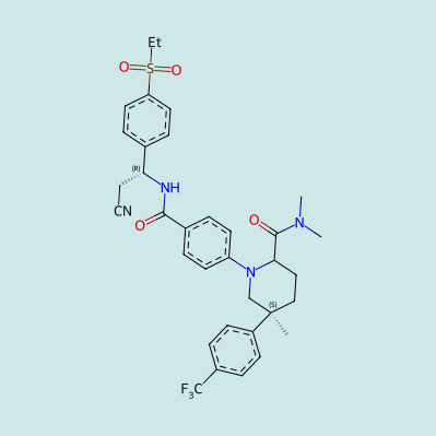 CCS(=O)(=O)c1ccc([C@@H](CC#N)NC(=O)c2ccc(N3C[C@](C)(c4ccc(C(F)(F)F)cc4)CCC3C(=O)N(C)C)cc2)cc1